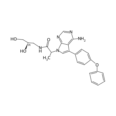 CC(C(=O)NC[C@@H](O)CO)n1cc(-c2ccc(Oc3ccccc3)cc2)c2c(N)ncnc21